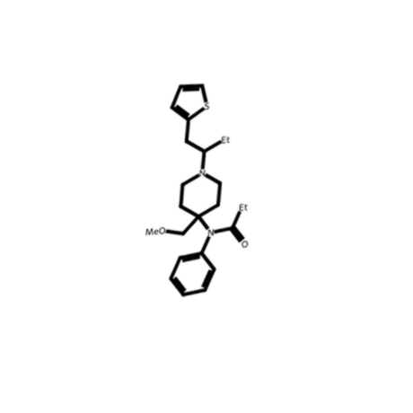 CCC(=O)N(c1ccccc1)C1(COC)CCN(C(CC)Cc2cccs2)CC1